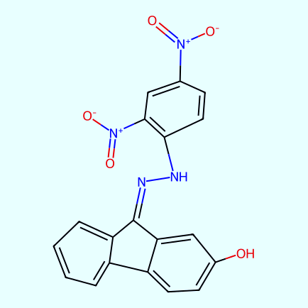 O=[N+]([O-])c1ccc(N/N=C2/c3ccccc3-c3ccc(O)cc32)c([N+](=O)[O-])c1